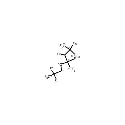 FC(C(F)(OCC(F)(F)C(F)(F)F)C(F)(F)F)C(F)(C(F)(F)F)C(F)(F)F